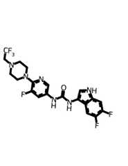 O=C(Nc1cnc(N2CCN(CC(F)(F)F)CC2)c(F)c1)Nc1c[nH]c2cc(F)c(F)cc12